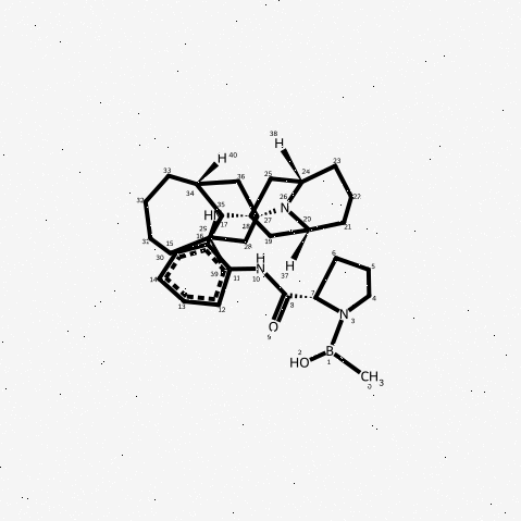 CB(O)N1CCC[C@H]1C(=O)Nc1ccccc1N[C@H]1C[C@H]2CCC[C@@H](C1)N2[C@@H]1C[C@@H]2CCCC[C@@H](C2)C1